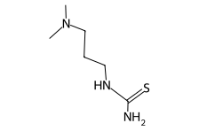 CN(C)CCCNC(N)=S